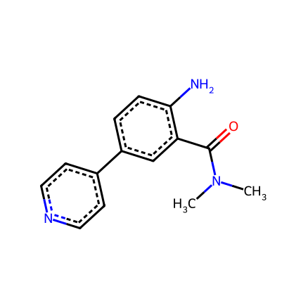 CN(C)C(=O)c1cc(-c2ccncc2)ccc1N